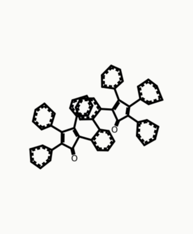 O=C1C(c2ccccc2)=C(c2ccccc2)C(c2ccccc2)=C1c1ccccc1-c1ccccc1C1=C(c2ccccc2)C(c2ccccc2)=C(c2ccccc2)C1=O